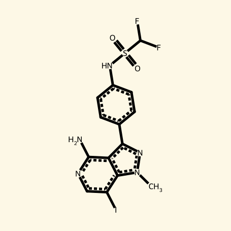 Cn1nc(-c2ccc(NS(=O)(=O)C(F)F)cc2)c2c(N)ncc(I)c21